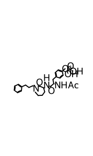 CC(=O)N[C@@H](Cc1ccc(OP(=O)(O)O)cc1)C(=O)N[C@H]1CCCCN(CCCc2ccccc2)C1=O